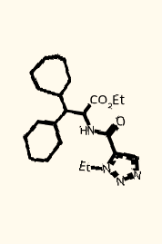 CCOC(=O)C(NC(=O)c1cnnn1CC)C(C1CCCCC1)C1CCCCC1